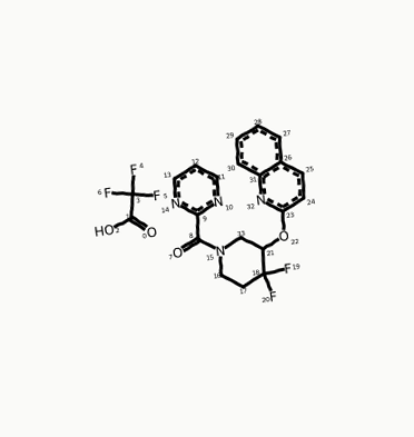 O=C(O)C(F)(F)F.O=C(c1ncccn1)N1CCC(F)(F)C(Oc2ccc3ccccc3n2)C1